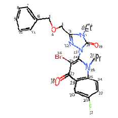 CCn1c(COCc2ccccc2)nn(-c2c(Br)c(=O)c3cc(F)ccc3n2C(C)C)c1=O